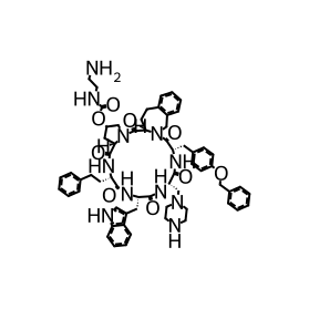 NCCNC(=O)O[C@@H]1C[C@H]2C(=O)N[C@@H](CCc3ccccc3)C(=O)N[C@@H](Cc3c[nH]c4ccccc34)C(=O)N[C@@H](CN3CCNCC3)C(=O)N[C@@H](Cc3ccc(OCc4ccccc4)cc3)C(=O)N3Cc4ccccc4CC[C@H]3C(=O)N2C1